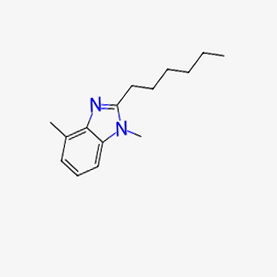 CCCCCCc1nc2c(C)cccc2n1C